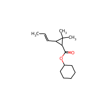 CC=CC1C(C(=O)OC2CCCCC2)C1(C)C